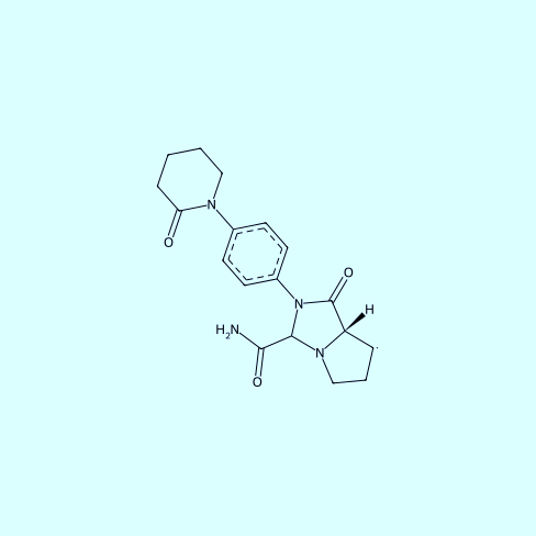 NC(=O)C1N(c2ccc(N3CCCCC3=O)cc2)C(=O)[C@@H]2[CH]CCN12